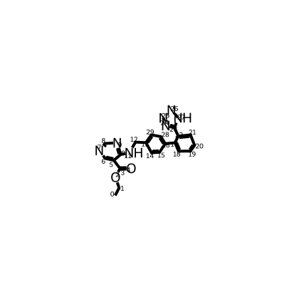 CCOC(=O)c1cncnc1NCc1ccc(-c2ccccc2-c2nnn[nH]2)cc1